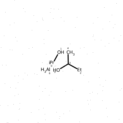 CC(C)O.CCC(C)O.[AlH3]